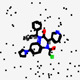 C[C@H](NC(=O)[C@@H](c1cccnc1)N(C(=O)CCl)c1ccc(-n2cccc2)cc1)c1ccccc1